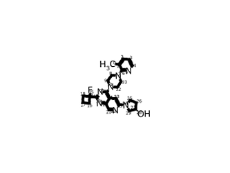 Cc1cccnc1N1CCN(c2nc(C3(F)CCC3)nc3cnc(N4CC[C@H](O)C4)cc23)CC1